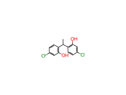 CC(c1ccc(Cl)cc1O)c1ccc(Cl)cc1O